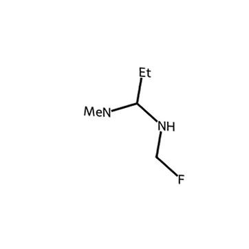 CCC(NC)NCF